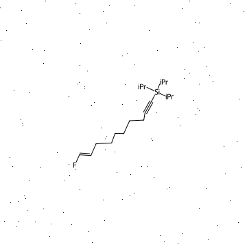 CC(C)[Si](C#CCCCCCCC=CF)(C(C)C)C(C)C